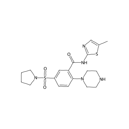 Cc1cnc(NC(=O)c2cc(S(=O)(=O)N3CCCC3)ccc2N2CCNCC2)s1